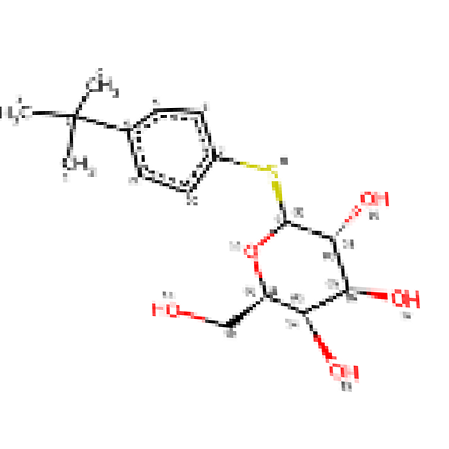 CC(C)(C)c1ccc(S[C@@H]2O[C@H](CO)[C@H](O)[C@H](O)[C@H]2O)cc1